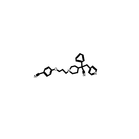 N#Cc1ccc(OCCCN2CCC(C(C#N)(Cc3ccncc3)c3ccccc3)CC2)cc1